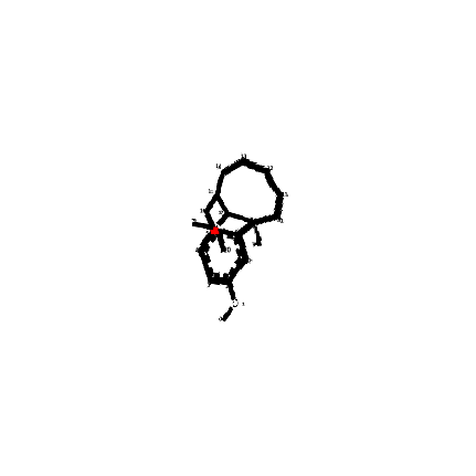 COc1ccc2c(c1)[C@@]1(C)CCCCCC(C2)C1N(C)C